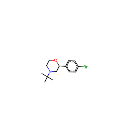 CC(C)(C)N1CCO[C@@H](c2ccc(Br)cc2)C1